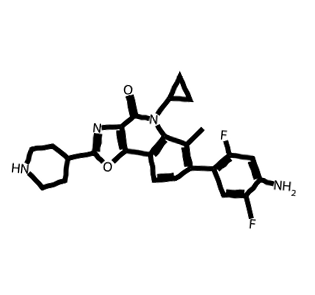 Cc1c(-c2cc(F)c(N)cc2F)ccc2c3oc(C4CCNCC4)nc3c(=O)n(C3CC3)c12